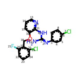 NC(=Nc1ccc(Cl)cc1)Nc1ncccc1OCc1c(F)cccc1Cl